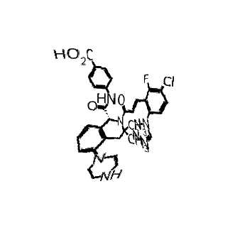 CC1(C)Cc2c(cccc2N2CCNCC2)[C@H](C(=O)Nc2ccc(C(=O)O)cc2)N1C(=O)C=Cc1c(-n2cnnn2)ccc(Cl)c1F